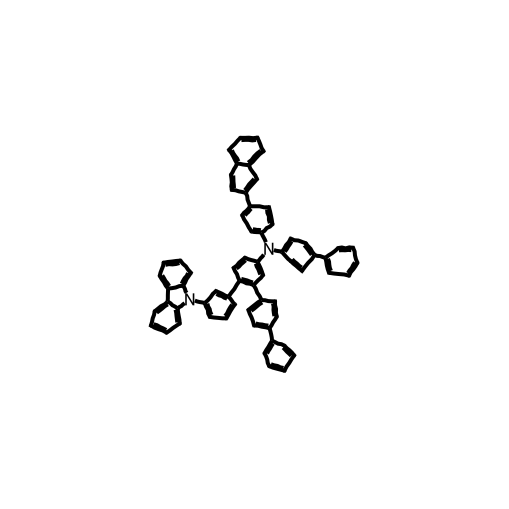 c1ccc(-c2ccc(-c3cc(N(c4ccc(-c5ccccc5)cc4)c4ccc(-c5ccc6ccccc6c5)cc4)ccc3-c3cccc(-n4c5ccccc5c5ccccc54)c3)cc2)cc1